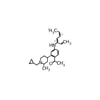 C=C/C(=C\C=C/C)Nc1ccc(C(C)=O)c(C2CCN(CC3CC3)C(C)C2)c1